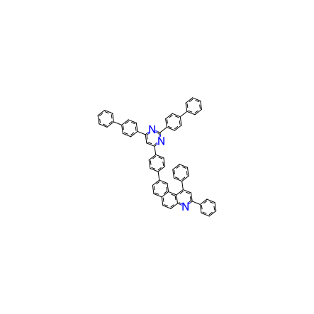 c1ccc(-c2ccc(-c3cc(-c4ccc(-c5ccc6ccc7nc(-c8ccccc8)cc(-c8ccccc8)c7c6c5)cc4)nc(-c4ccc(-c5ccccc5)cc4)n3)cc2)cc1